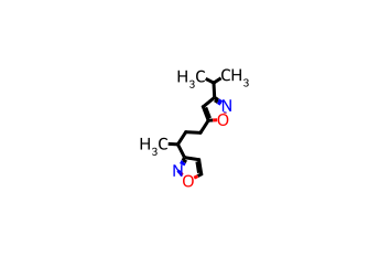 CC(C)c1cc(CCC(C)c2ccon2)on1